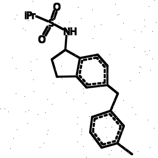 Cc1cccc(Cc2ccc3c(c2)CCC3NS(=O)(=O)C(C)C)c1